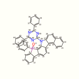 O=P1(c2ccccc2)c2ccccc2-c2ccc3c4c5ccccc5ccc4n(-c4nc(-c5ccccc5)nc(-c5ccccc5)n4)c3c21